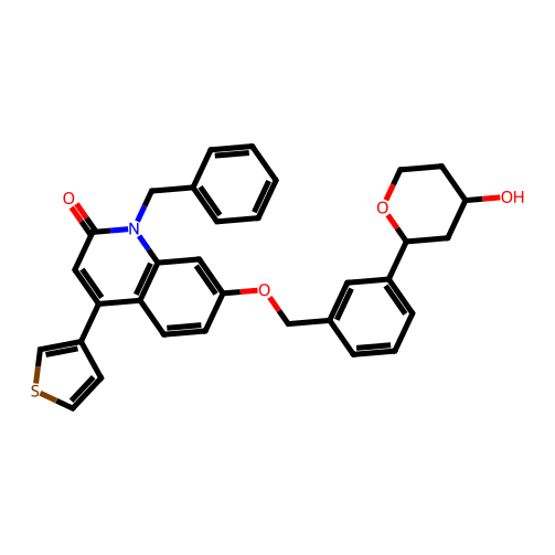 O=c1cc(-c2ccsc2)c2ccc(OCc3cccc(C4CC(O)CCO4)c3)cc2n1Cc1ccccc1